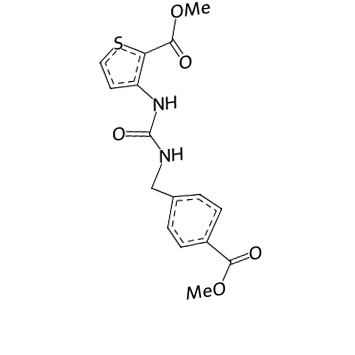 COC(=O)c1ccc(CNC(=O)Nc2ccsc2C(=O)OC)cc1